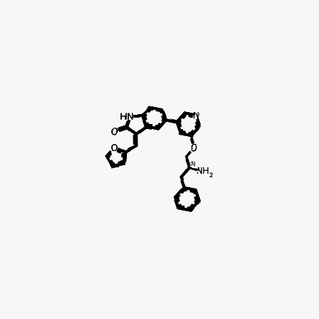 N[C@H](COc1cncc(-c2ccc3c(c2)C(=Cc2ccco2)C(=O)N3)c1)Cc1ccccc1